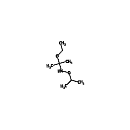 CCOC(C)(C)NOC(C)C